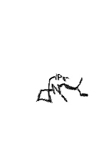 C=C/C(C)=C\N(C)C1(CC(C)C)CCC1